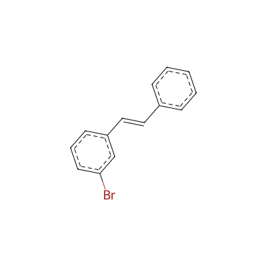 Brc1cccc(C=Cc2ccccc2)c1